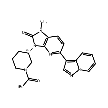 Cn1c(=O)n([C@H]2CCCN(C(=O)C(C)(C)C)C2)c2nc(-c3cnn4ccccc34)ccc21